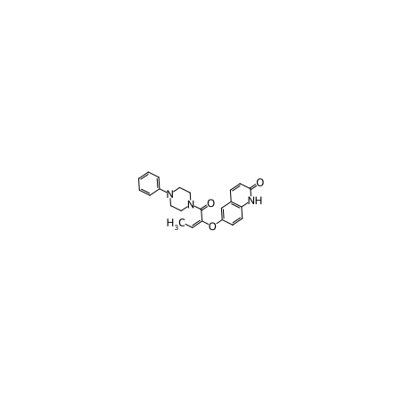 CC=C(Oc1ccc2[nH]c(=O)ccc2c1)C(=O)N1CCN(c2ccccc2)CC1